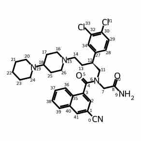 N#Cc1cc(C(=O)N(CC(N)=O)C[C@@H](CCN2CCC(N3CCCCC3)CC2)c2ccc(Cl)c(Cl)c2)c2ccccc2c1